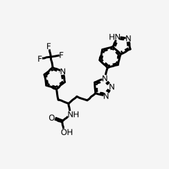 O=C(O)NC(CCc1cn(-c2ccc3[nH]ncc3c2)nn1)Cc1ccc(C(F)(F)F)nc1